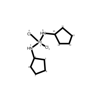 [Cl][Pt]([Cl])([NH]C1CCCC1)[NH]C1CCCC1